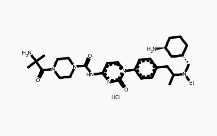 CCN(C[C@H]1CCC[C@H](N)C1)C(C)Cc1ccc(-n2ccc(NC(=O)N3CCN(C(=O)C(C)(C)N)CC3)nc2=O)cc1.Cl